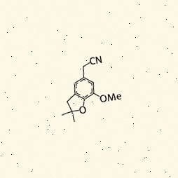 COc1cc(CC#N)cc2c1OC(C)(C)C2